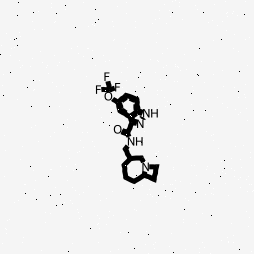 O=C(NCC1CCCC2CCN2C1)c1n[nH]c2ccc(OC(F)(F)F)cc12